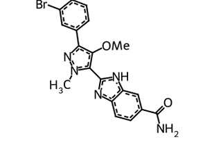 COc1c(-c2cccc(Br)c2)nn(C)c1-c1nc2ccc(C(N)=O)cc2[nH]1